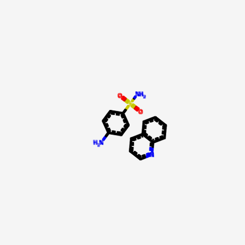 Nc1ccc(S(N)(=O)=O)cc1.c1ccc2ncccc2c1